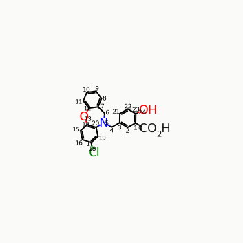 O=C(O)c1cc(CN2Cc3ccccc3Oc3ccc(Cl)cc32)ccc1O